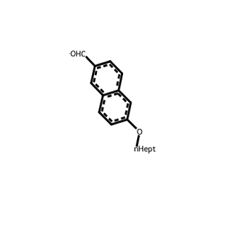 CCCCCCCOc1ccc2cc([C]=O)ccc2c1